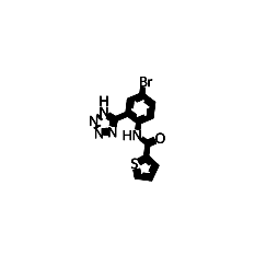 O=C(Nc1ccc(Br)cc1-c1nnn[nH]1)c1cccs1